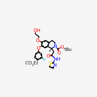 CCOC(=O)c1ccc(Oc2cc3c(cc2OCCO)CCN(C(=O)OC(C)(C)C)[C@]3(C)CC(=O)Nc2nccs2)cc1F